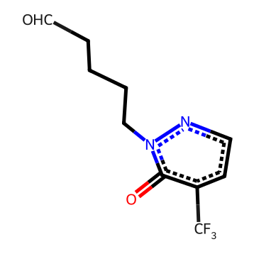 O=CCCCCn1nccc(C(F)(F)F)c1=O